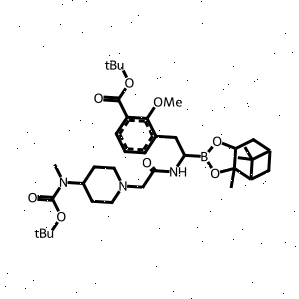 COc1c(CC(NC(=O)CN2CCC(N(C)C(=O)OC(C)(C)C)CC2)B2OC3CC4CC(C4(C)C)C3(C)O2)cccc1C(=O)OC(C)(C)C